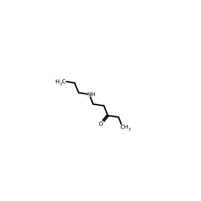 [CH2]CCNCCC(=O)CC